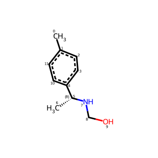 Cc1ccc([C@@H](C)NCO)cc1